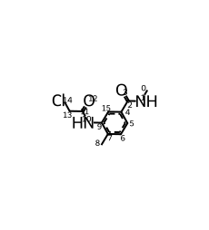 CNC(=O)c1ccc(C)c(NC(=O)CCl)c1